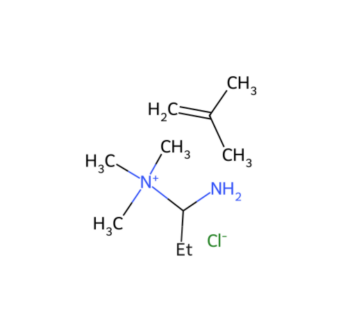 C=C(C)C.CCC(N)[N+](C)(C)C.[Cl-]